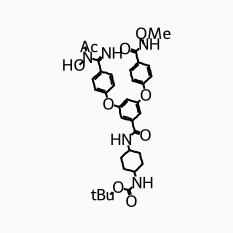 CONC(=O)c1ccc(Oc2cc(Oc3ccc(C(=N)N(O)C(C)=O)cc3)cc(C(=O)NC3CCC(NC(=O)OC(C)(C)C)CC3)c2)cc1